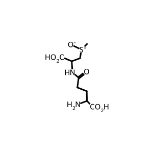 C[S+]([O-])CC(NC(=O)CCC(N)C(=O)O)C(=O)O